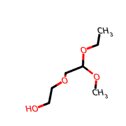 CCOC(COCCO)OC